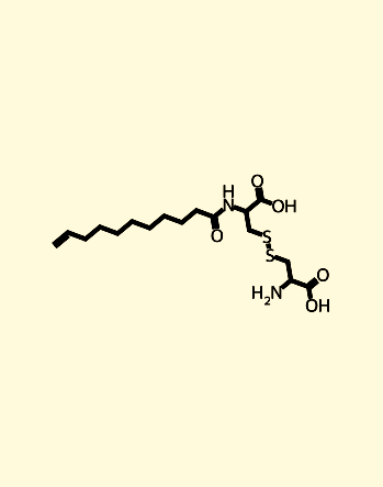 C=CCCCCCCCCC(=O)NC(CSSCC(N)C(=O)O)C(=O)O